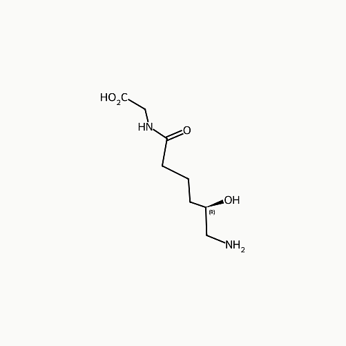 NC[C@H](O)CCCC(=O)NCC(=O)O